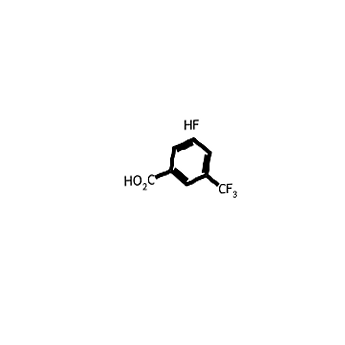 F.O=C(O)c1cccc(C(F)(F)F)c1